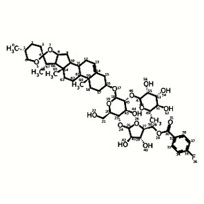 C[C@@H]1CC[C@@]2(OC1)OC1CC3C4CC=C5C[C@@H](O[C@@H]6O[C@H](CO)[C@@H](OC7O[C@@H](COC(=O)c8ccc(F)cc8)[C@H](O)[C@H]7O)[C@H](O)[C@H]6OC6O[C@@H](C)[C@H](O)[C@@H](O)[C@H]6O)CC[C@]5(C)C4CC[C@]3(C)C1[C@@H]2C